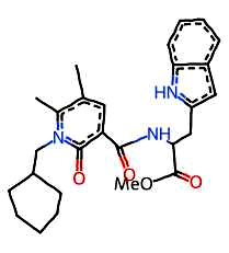 COC(=O)C(Cc1cc2ccccc2[nH]1)NC(=O)c1cc(C)c(C)n(CC2CCCCC2)c1=O